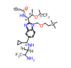 [2H]C([2H])(N[C@@H](c1ccc2c(c1)nc([C@@H](N[S@+]([O-])C(C)(C)C)[C@@H](C)O[C@@H](C)C(F)(F)F)n2COCC[Si](C)(C)C)C1CC1)C(N)C(F)(F)F